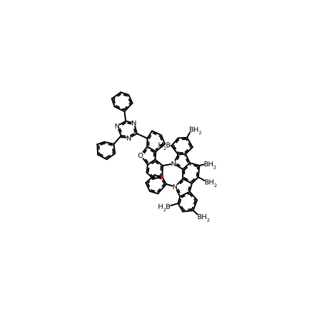 Bc1cc(B)c2c(c1)c1c(B)c(B)c3c4cc(B)cc(B)c4n(-c4cccc5oc6c(-c7nc(-c8ccccc8)nc(-c8ccccc8)n7)cccc6c45)c3c1n2-c1ccccc1